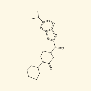 CC(C)c1ccc2oc(C(=O)N3CCN(C4CCCCC4)C(=O)C3)cc2c1